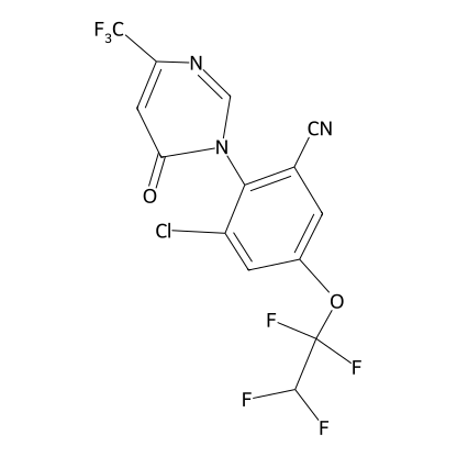 N#Cc1cc(OC(F)(F)C(F)F)cc(Cl)c1-n1cnc(C(F)(F)F)cc1=O